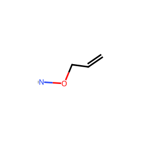 C=CCO[N]